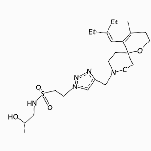 CCC(=CC1=C(C)CCOC12CCN(Cc1cn(CCS(=O)(=O)NCC(C)O)nn1)CC2)CC